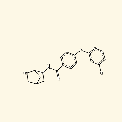 O=C(NC1CC2CNC1C2)c1ccc(Oc2cc(Cl)ccn2)cc1